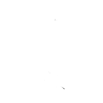 CCNC(=O)CCCCCN1C(=O)C[C@H](CC)C1=O